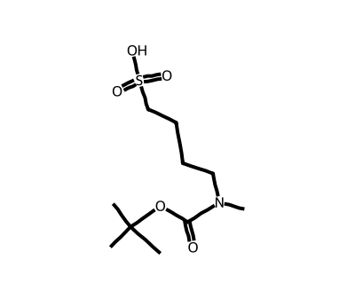 CN(CCCCS(=O)(=O)O)C(=O)OC(C)(C)C